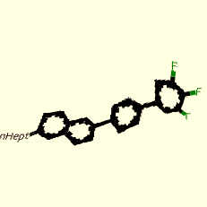 CCCCCCCc1ccc2cc(-c3ccc(-c4cc(F)c(F)c(F)c4)cc3)ccc2c1